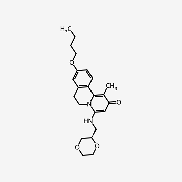 CCCCOc1ccc2c(c1)CCn1c(NC[C@@H]3COCCO3)cc(=O)c(C)c1-2